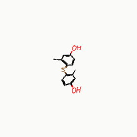 Cc1cc(O)ccc1Sc1ccc(O)cc1C